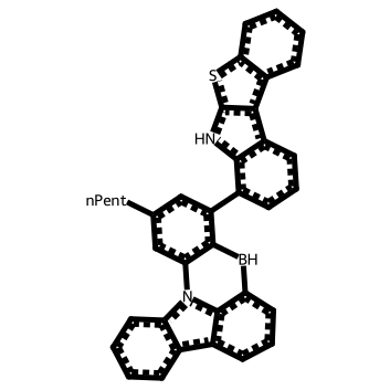 CCCCCc1cc(-c2cccc3c2[nH]c2sc4ccccc4c23)c2c(c1)-n1c3ccccc3c3cccc(c31)B2